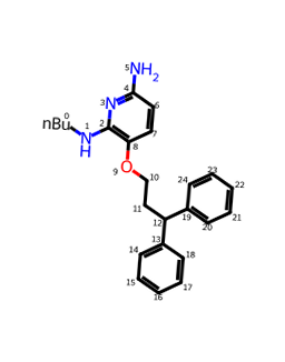 CCCCNc1nc(N)ccc1OCCC(c1ccccc1)c1ccccc1